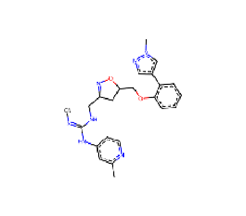 Cc1cc(NC(=NC#N)NCC2=NOC(COc3ccccc3-c3cnn(C)c3)C2)ccn1